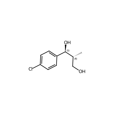 C[C@H](CO)[C@H](O)c1ccc(Cl)cc1